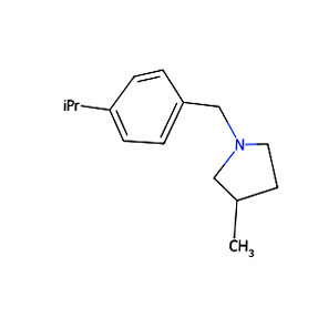 CC1CCN(Cc2ccc(C(C)C)cc2)C1